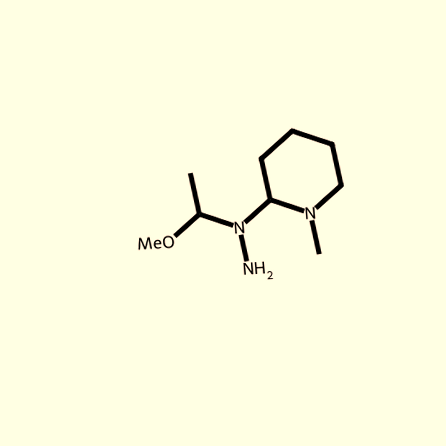 COC(C)N(N)C1CCCCN1C